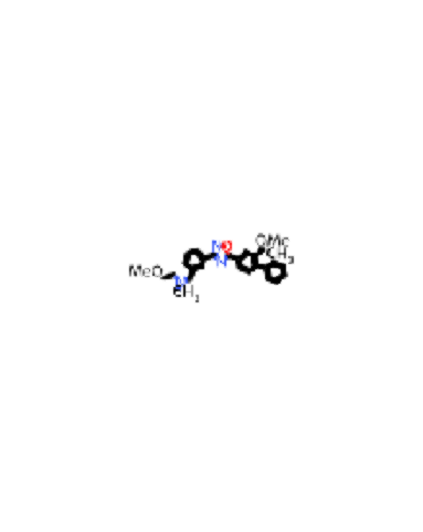 COCCN(C)Cc1cccc(-c2noc(-c3ccc(-c4ccccc4C)c(COC)c3)n2)c1